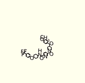 COc1ccc(C(=O)C2CCN(C(=O)c3ccc(C(=O)NC4CCC(Oc5ccc(C(F)(F)F)cc5)CC4)nc3)CC2)cc1